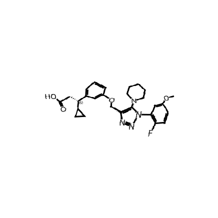 COc1ccc(F)c(-n2nnc(COc3cccc([C@@H](CC(=O)O)C4CC4)c3)c2N2CCCCC2)c1